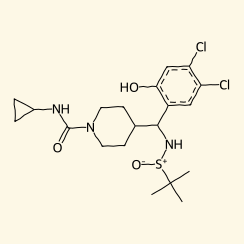 CC(C)(C)[S+]([O-])NC(c1cc(Cl)c(Cl)cc1O)C1CCN(C(=O)NC2CC2)CC1